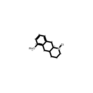 CCN1CCCC2Cc3c(cccc3OC)CC21